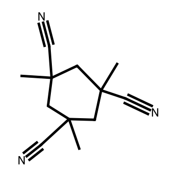 CC1(C#N)CC(C)(C#N)CC(C)(C#N)C1